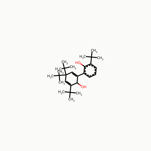 CC(C)(C)C1=CC(C(C)(C)C)(C(C)(C)C)C=C(c2cccc(C(C)(C)C)c2O)C1O